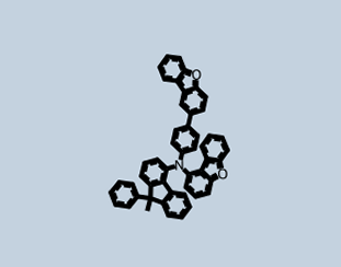 CC1(c2ccccc2)c2ccccc2-c2c(N(c3ccc(-c4ccc5oc6ccccc6c5c4)cc3)c3cccc4oc5ccccc5c34)cccc21